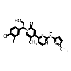 Cc1cn([C@H](CO)c2ccc(Cl)c(F)c2)c(=O)cc1-c1ccnc(Nc2ccn(C)n2)n1